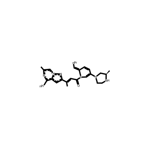 CCC/C=C1\C=CC(N2CCN[C@H](C)C2)=CN1C(=O)/C=C(\C)c1cc2c(CCC)nc(C)cn2n1